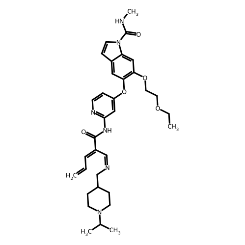 C=C/C=C(\C=N/CC1CCN(C(C)C)CC1)C(=O)Nc1cc(Oc2cc3ccn(C(=O)NC)c3cc2OCCOCC)ccn1